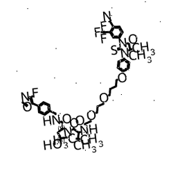 CC(C)(C)C(NC(=O)COCCCOCCCCOc1ccc(N2C(=S)N(c3ccc(C#N)c(C(F)(F)F)c3)C(=O)C2(C)C)cc1)C(=O)N1C[C@H](O)C[C@H]1C(=O)NCc1ccc(-c2ocnc2F)cc1